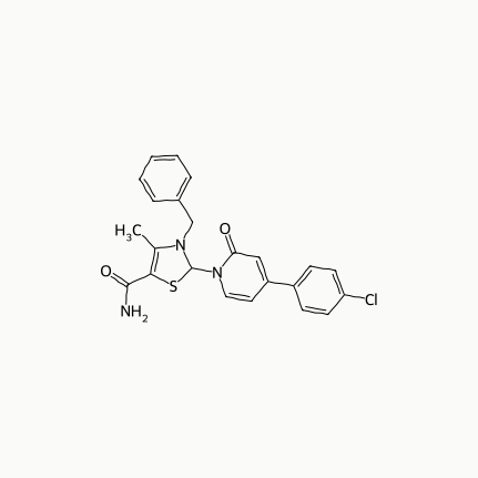 CC1=C(C(N)=O)SC(n2ccc(-c3ccc(Cl)cc3)cc2=O)N1Cc1ccccc1